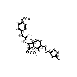 COc1ccc(NC(=O)NC2C(=O)N3C(C(=O)O)=C(CSc4nnc(C)s4)CS[C@@H]23)cc1